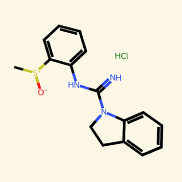 C[S+]([O-])c1ccccc1NC(=N)N1CCc2ccccc21.Cl